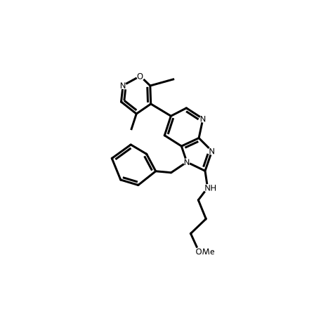 COCCCNc1nc2ncc(C3=C(C)ON=C=C3C)cc2n1Cc1ccccc1